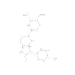 COc1ccc(-c2ccc3nc(C)c(-c4ccc(C#N)nc4)n3n2)cc1OC